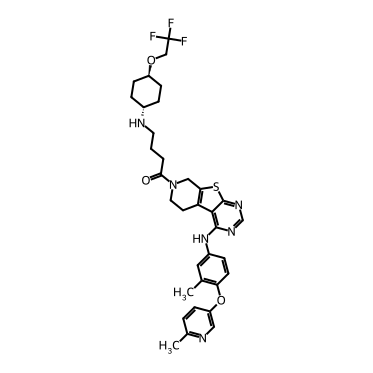 Cc1ccc(Oc2ccc(Nc3ncnc4sc5c(c34)CCN(C(=O)CCCN[C@H]3CC[C@H](OCC(F)(F)F)CC3)C5)cc2C)cn1